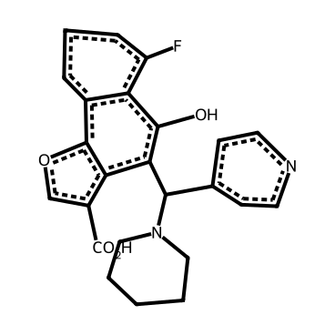 O=C(O)c1coc2c1c(C(c1ccncc1)N1CCCCC1)c(O)c1c(F)cccc12